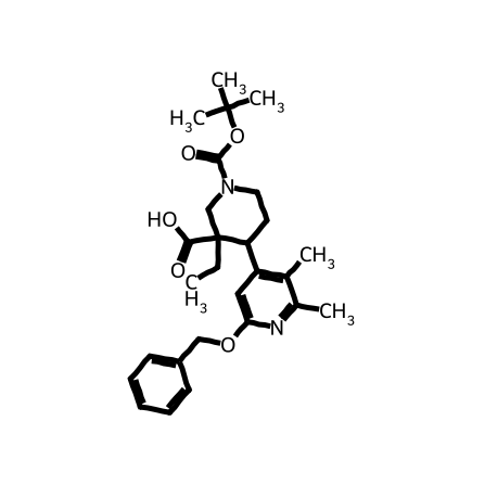 CCC1(C(=O)O)CN(C(=O)OC(C)(C)C)CCC1c1cc(OCc2ccccc2)nc(C)c1C